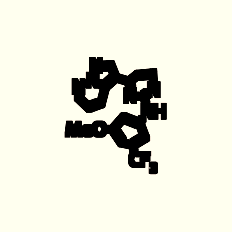 COc1cc(Nc2nccc(-c3cnn4ncccc34)n2)cc(C(F)(F)F)c1